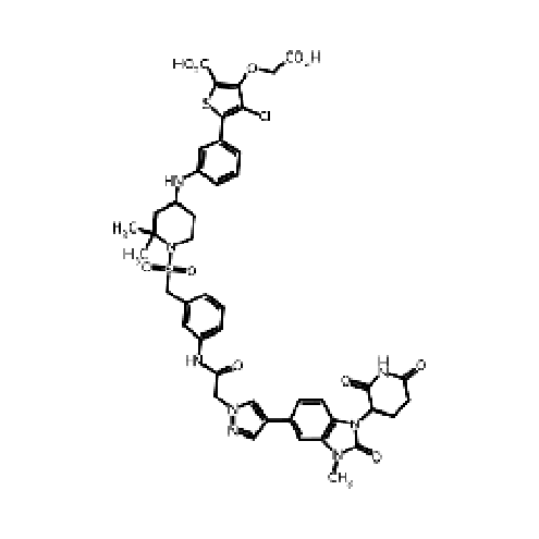 Cn1c(=O)n(C2CCC(=O)NC2=O)c2ccc(-c3cnn(CC(=O)Nc4cccc(CS(=O)(=O)N5CC[C@H](Nc6cccc(-c7sc(C(=O)O)c(OCC(=O)O)c7Cl)c6)CC5(C)C)c4)c3)cc21